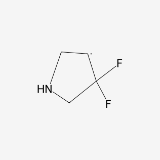 FC1(F)[CH]CNC1